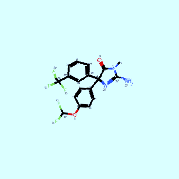 CN1C(=O)C(c2ccc(OC(F)F)cc2)(c2cccc(C(F)(F)F)c2)N=C1N